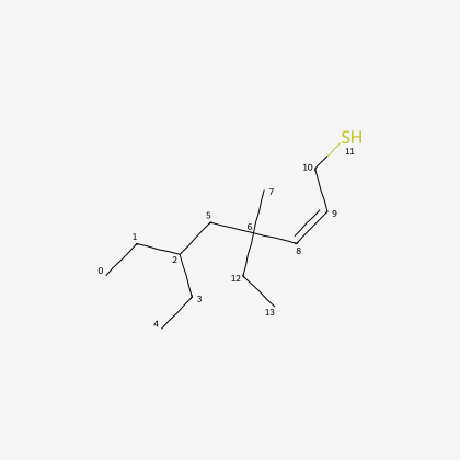 CCC(CC)CC(C)(/C=C\CS)CC